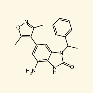 Cc1noc(C)c1-c1cc(N)c2[nH]c(=O)n(C(C)c3ccccc3)c2c1